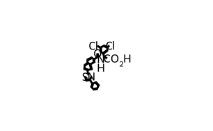 O=C(NC(C(=O)O)c1cc(Cl)cc(Cl)c1)c1ccc2ccc(-c3nc(-c4ccccc4)cs3)cc2c1